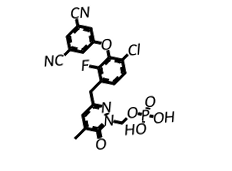 Cc1cc(Cc2ccc(Cl)c(Oc3cc(C#N)cc(C#N)c3)c2F)nn(COP(=O)(O)O)c1=O